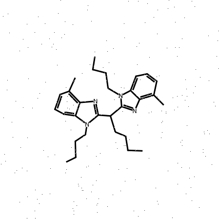 CCCCC(c1nc2c(C)cccc2n1CCCC)c1nc2c(C)cccc2n1CCCC